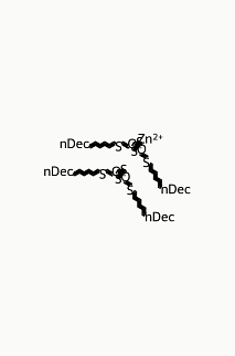 CCCCCCCCCCCCCCCCSCCOP(=S)([S-])OCCSCCCCCCCCCCCCCCCC.CCCCCCCCCCCCCCCCSCCOP(=S)([S-])OCCSCCCCCCCCCCCCCCCC.[Zn+2]